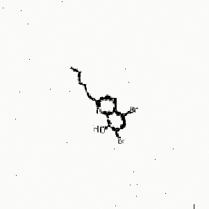 CCCCCc1ccc2c(Br)cc(Br)c(O)c2n1